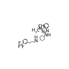 CN(C)c1nc(N[C@H]2CC[C@@H](CNCCCc3cccc(C(F)(F)F)c3)CC2)nc2ccccc12